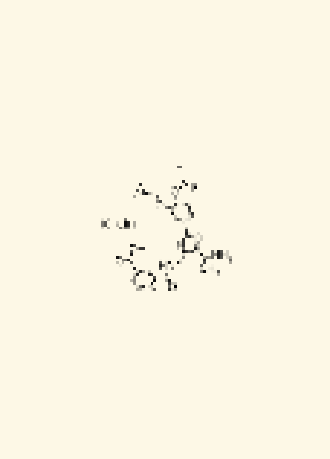 CC(N)c1oc(-c2ccc(OC(F)F)c(OCC3CC3)c2)nc1CNC(=O)c1cc(C(=O)O)ccn1.Cl.Cl